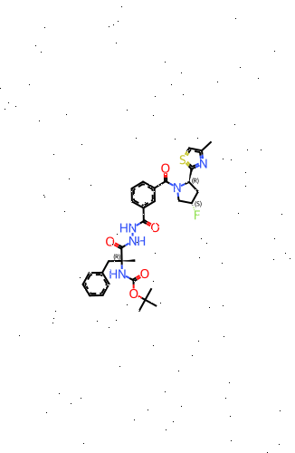 Cc1csc([C@H]2C[C@H](F)CN2C(=O)c2cccc(C(=O)NNC(=O)[C@@](C)(Cc3ccccc3)NC(=O)OC(C)(C)C)c2)n1